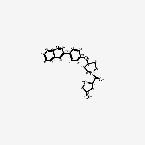 O=C(C1CC(O)CO1)N1CCC(Oc2ccc(-c3cnc4ccccc4c3)cc2)CC1